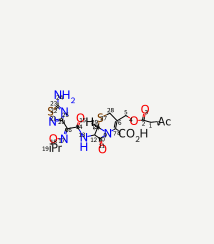 CC(=O)CC(=O)OCC1=C(C(=O)O)N2C(=O)C(NC(=O)C(=NOC(C)C)c3nsc(N)n3)[C@@H]2SC1